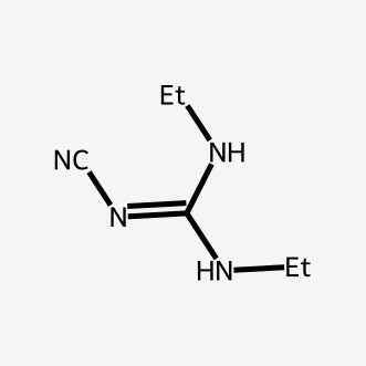 [CH2]CNC(=NC#N)NCC